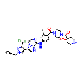 C#CCn1cc(-c2cnc3c(Nc4ccc(C(=O)N5CCN(C(=O)C6(O)CCNCC6)CC5)c(CC)c4)nccn23)c(C(F)F)n1